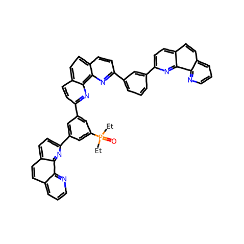 CCP(=O)(CC)c1cc(-c2ccc3ccc4cccnc4c3n2)cc(-c2ccc3ccc4ccc(-c5cccc(-c6ccc7ccc8cccnc8c7n6)c5)nc4c3n2)c1